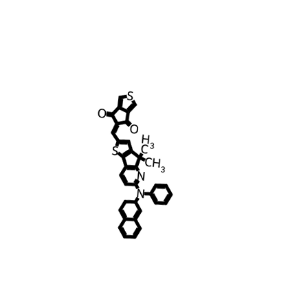 CC1(C)c2cc(C=C3C(=O)c4cscc4C3=O)sc2-c2ccc(N(c3ccccc3)C3C=c4ccccc4=CC3)nc21